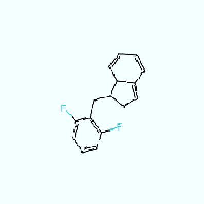 Fc1cccc(F)c1CC1CC=C2C=CC=CC21